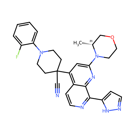 C[C@@H]1COCCN1c1cc(C2(C#N)CCN(c3ccccc3F)CC2)c2ccnc(-c3ccn[nH]3)c2n1